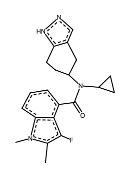 Cc1c(F)c2c(C(=O)N(C3CC3)C3CCc4[nH]ncc4C3)cccc2n1C